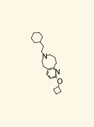 c1cc2c(nc1OC1CCC1)CCCN(CCC1CCCCC1)CC2